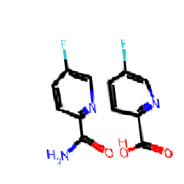 NC(=O)c1ccc(F)cn1.O=C(O)c1ccc(F)cn1